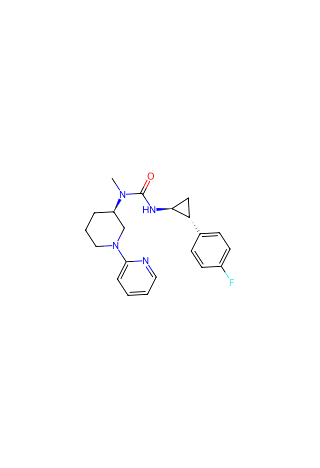 CN(C(=O)N[C@H]1C[C@@H]1c1ccc(F)cc1)[C@@H]1CCCN(c2ccccn2)C1